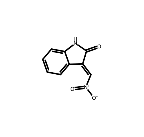 O=C1Nc2ccccc2/C1=C\[N+](=O)[O-]